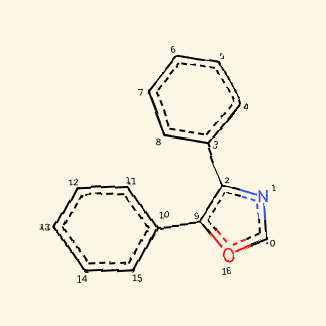 [c]1nc(-c2ccccc2)c(-c2ccccc2)o1